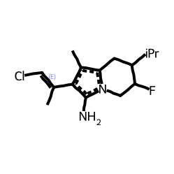 C/C(=C\Cl)c1c(C)c2n(c1N)CC(F)C(C(C)C)C2